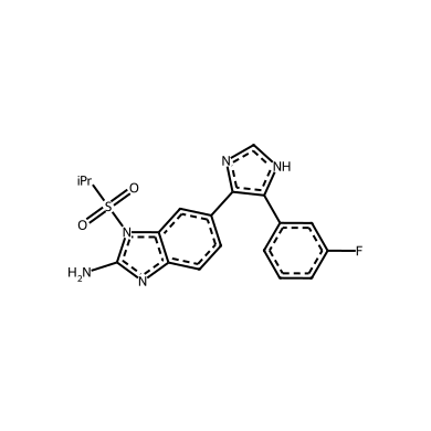 CC(C)S(=O)(=O)n1c(N)nc2ccc(-c3nc[nH]c3-c3cccc(F)c3)cc21